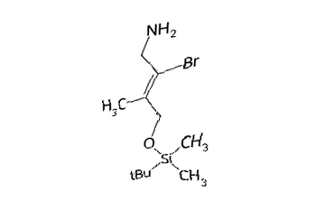 C/C(CO[Si](C)(C)C(C)(C)C)=C(/Br)CN